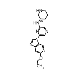 CCOc1cc2ncn(-c3cncc(N[C@@H]4CCCNC4)n3)c2cn1